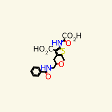 O=C(O)C(=O)Nc1sc2c(c1C(=O)O)CC(CNC(=O)c1ccccc1)OC2